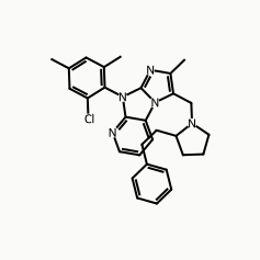 Cc1cc(C)c(-n2c3ncccc3n3c(CN4CCCC4CCc4ccccc4)c(C)nc23)c(Cl)c1